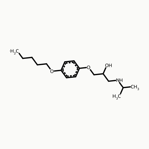 [CH2]CCCCOc1ccc(OCC(O)CNC(C)C)cc1